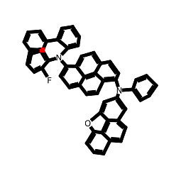 Fc1ccccc1N(c1ccccc1-c1ccccc1)c1ccc2ccc3c(N(c4ccccc4)c4cc5ccc6cccc7oc(c4)c5c67)ccc4ccc1c2c43